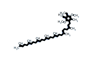 C/C=c1/c(OC)c(C)c(C/C=C(\C)CC/C=C(\C)CC/C=C(\C)CC/C=C(\C)CC/C=C(\C)CC/C=C(\C)CCC=C(C)C)c(OC)/c1=C/C